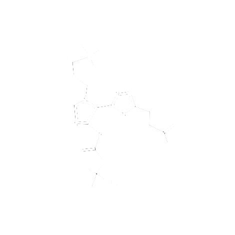 CC(OCn1cnc(NC(=O)OC(C)(C)C)c1-c1noc(CCC(=O)O)n1)[Si](C)(C)C